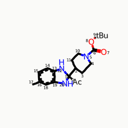 CC(=O)C1(C2CCN(C(=O)OC(C)(C)C)CC2)Nc2ccc(C)cc2N1